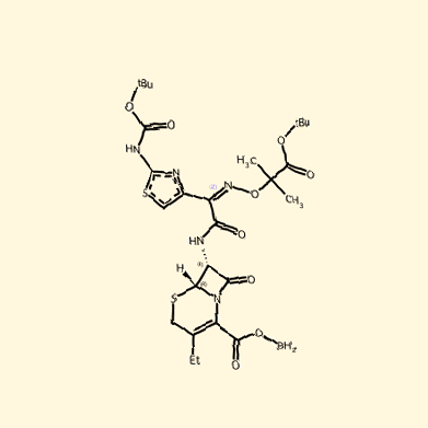 BOC(=O)C1=C(CC)CS[C@@H]2[C@H](NC(=O)/C(=N\OC(C)(C)C(=O)OC(C)(C)C)c3csc(NC(=O)OC(C)(C)C)n3)C(=O)N12